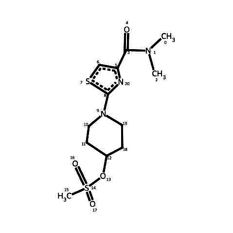 CN(C)C(=O)c1csc(N2CCC(OS(C)(=O)=O)CC2)n1